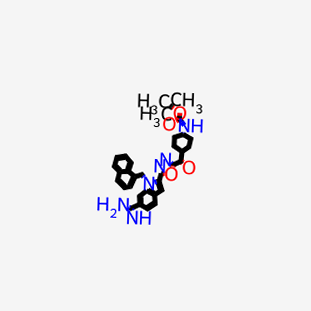 CC(C)(C)OC(=O)NC1CCC(C(=O)c2nnc(-c3cc4ccc(C(=N)N)cc4n3Cc3cccc4ccccc34)o2)CC1